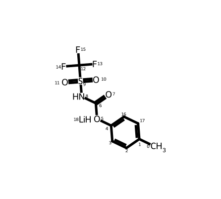 Cc1ccc(OC(=O)NS(=O)(=O)C(F)(F)F)cc1.[LiH]